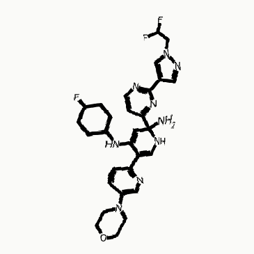 NC1(c2ccnc(-c3cnn(CC(F)F)c3)n2)C=C(NC2CCC(F)CC2)C(c2ccc(N3CCOCC3)cn2)=CN1